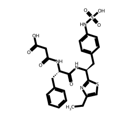 CCc1csc([C@H](Cc2ccc(NS(=O)(=O)O)cc2)NC(=O)[C@H](Cc2ccccc2)NC(=O)CC(=O)O)n1